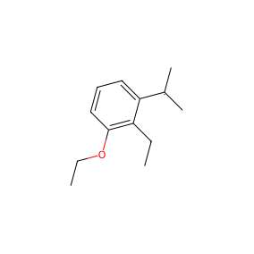 CCOc1cccc([C](C)C)c1CC